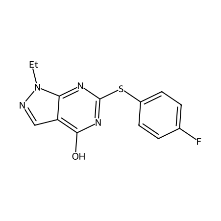 CCn1ncc2c(O)nc(Sc3ccc(F)cc3)nc21